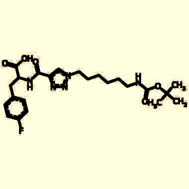 CC(C)(C)OC(=O)NCCCCCCn1cc(C(=O)NC(Cc2ccc(F)cc2)C(=O)O)nn1